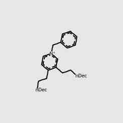 CCCCCCCCCCCCc1cc[n+](Cc2ccccc2)cc1CCCCCCCCCCCC